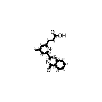 Cc1cc(CCC(=O)O)nc(-c2nc(=O)c3ccccc3s2)c1